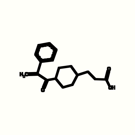 C=C(C(=O)C1CCC(CCC(=O)O)CC1)c1ccccc1